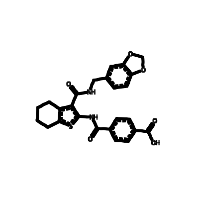 O=C(O)c1ccc(C(=O)Nc2sc3c(c2C(=O)NCc2ccc4c(c2)OCO4)CCCC3)cc1